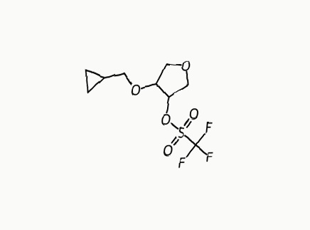 O=S(=O)(OC1COCC1OCC1CC1)C(F)(F)F